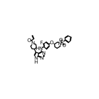 C=CC(=O)N1CCC(c2c[nH]c3ncnc(Nc4ccc(O[C@@H]5CCCN(S(=O)(=O)c6ccccc6)C5)cc4F)c23)CC1